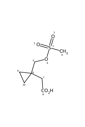 CS(=O)(=O)OCC1(CC(=O)O)CC1